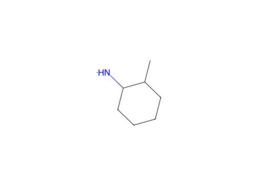 CC1CCCCC1[NH]